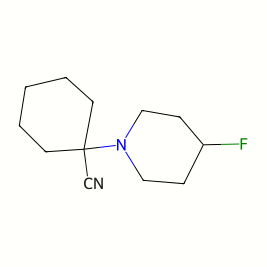 N#CC1(N2CCC(F)CC2)CCCCC1